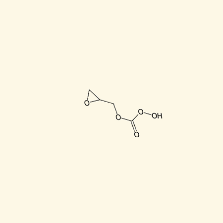 O=C(OO)OCC1CO1